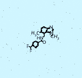 Cc1ccc2ncn(C)c2c1CNC(=O)c1ccc(C(F)F)cc1